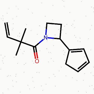 C=CC(C)(C)C(=O)N1CCC1C1=CC=CC1